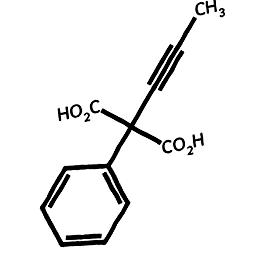 CC#CC(C(=O)O)(C(=O)O)c1ccccc1